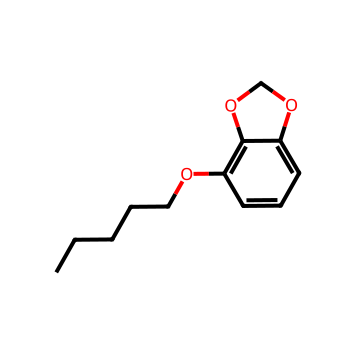 CCCCCOc1cccc2c1OCO2